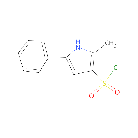 Cc1[nH]c(-c2ccccc2)cc1S(=O)(=O)Cl